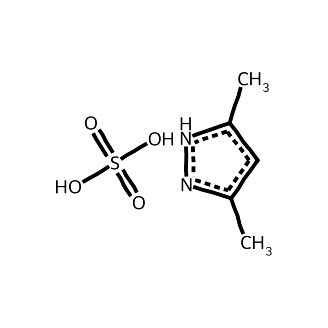 Cc1cc(C)[nH]n1.O=S(=O)(O)O